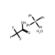 CC(C)[Si](C(C)C)(C(C)C)C(C)C.O.O=C(O)C(F)(F)F